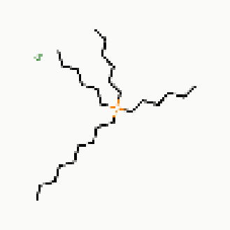 CCCCCCCCC[P+](CCCCCC)(CCCCCC)CCCCCC.[Cl-]